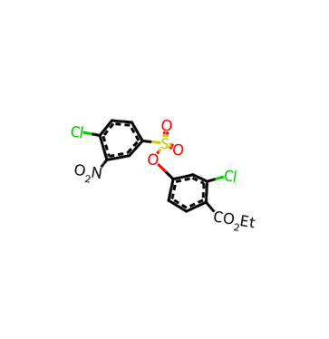 CCOC(=O)c1ccc(OS(=O)(=O)c2ccc(Cl)c([N+](=O)[O-])c2)cc1Cl